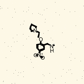 CNCc1cc([N+](=O)[O-])ccc1OCCN1CCCC1